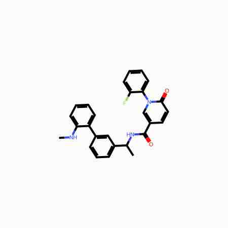 CNc1ccccc1-c1cccc(C(C)NC(=O)c2ccc(=O)n(-c3ccccc3F)c2)c1